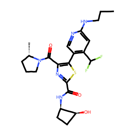 CCCNc1cc(C(F)F)c(-c2sc(C(=O)N[C@@H]3CC[C@@H]3O)nc2C(=O)N2CCC[C@@H]2C)cn1